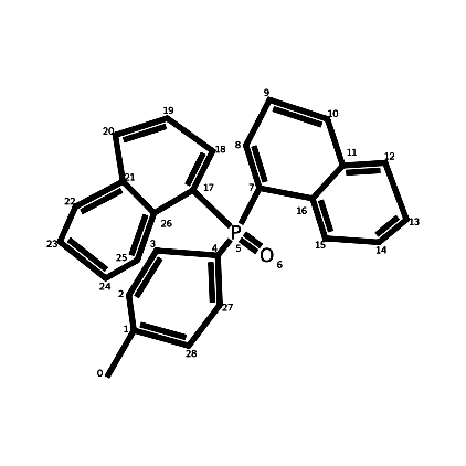 Cc1ccc(P(=O)(c2cccc3ccccc23)c2cccc3ccccc23)cc1